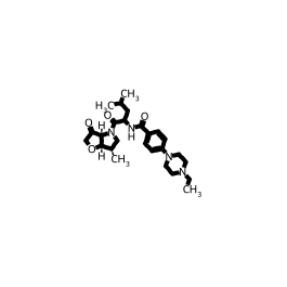 CCN1CCN(c2ccc(C(=O)NC(CC(C)C)C(=O)N3C[C@H](C)[C@H]4OCC(=O)[C@H]43)cc2)CC1